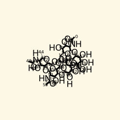 CC(=O)NC1C(O)[C@H](O)[C@H](CO)O[C@H]1O[C@@H]1C(O)[C@H](O)C(CO)O[C@@H]1OCC1O[C@@H](O[C@@H]2C(CO)O[C@@H](O[C@@H]3C(CO)O[C@@H](C)C(NC(C)=O)[C@H]3O)C(NC(C)=O)[C@H]2O)[C@H](O)C(O)[C@@H]1O